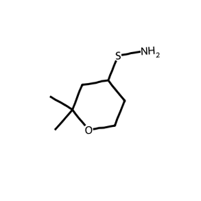 CC1(C)CC(SN)CCO1